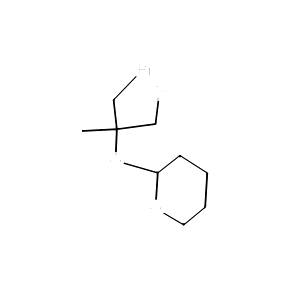 CC(CBr)(CBr)OC1CCCCO1